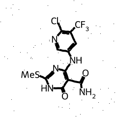 CSc1nc(Nc2cnc(Cl)c(C(F)(F)F)c2)c(C(N)=O)c(=O)[nH]1